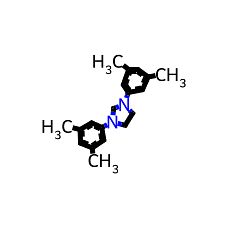 Cc1cc(C)cc(N2CCN(c3cc(C)cc(C)c3)C2)c1